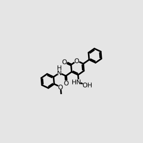 COc1ccccc1NC(=O)c1c(NO)cc(-c2ccccc2)oc1=O